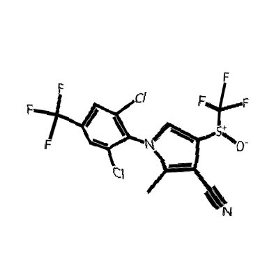 Cc1c(C#N)c([S+]([O-])C(F)(F)F)cn1-c1c(Cl)cc(C(F)(F)F)cc1Cl